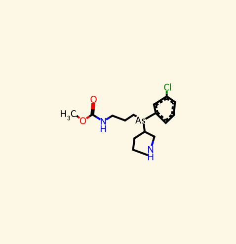 COC(=O)NCCC[As](c1cccc(Cl)c1)C1CCCNC1